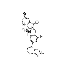 [2H]C1([2H])c2ncc(Br)cc2C(=O)N1Cc1c(F)cc(-c2cccc3nn(C)cc23)cc1F